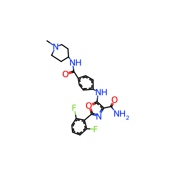 CN1CCC(NC(=O)c2ccc(Nc3oc(-c4c(F)cccc4F)nc3C(N)=O)cc2)CC1